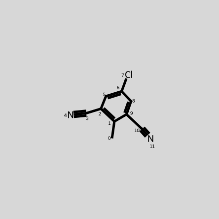 Cc1c(C#N)cc(Cl)cc1C#N